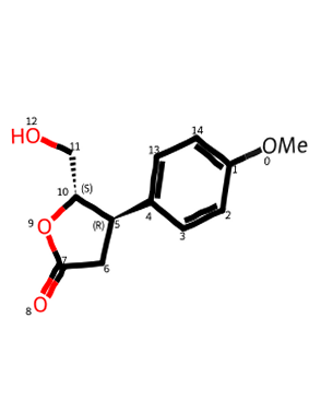 COc1ccc([C@H]2CC(=O)O[C@@H]2CO)cc1